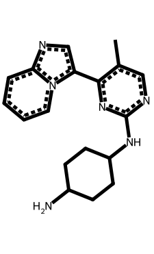 Cc1cnc(NC2CCC(N)CC2)nc1-c1cnc2ccccn12